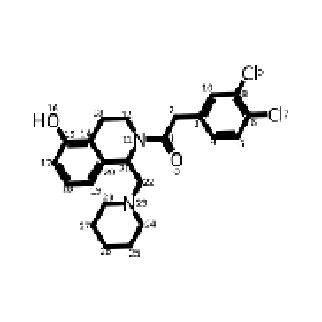 O=C(Cc1ccc(Cl)c(Cl)c1)N1CCc2c(O)cccc2C1CN1CCCCC1